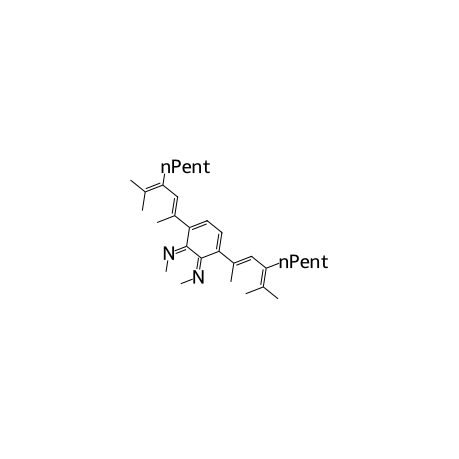 CCCCCC(/C=C(\C)C1=CC=C(/C(C)=C/C(CCCCC)=C(C)C)C(=N/C)/C1=N\C)=C(C)C